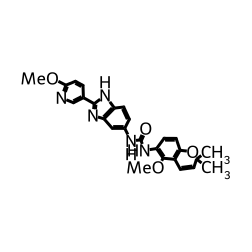 COc1ccc(-c2nc3cc(NC(=O)Nc4ccc5c(c4OC)C=CC(C)(C)O5)ccc3[nH]2)cn1